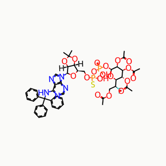 CC(=O)OC[C@H](F)[C@H]1O[C@@H](OP(=O)(O)OP(O)(=S)OC[C@H]2O[C@@H](n3cnc4c(NC(c5ccccc5)(c5ccccc5)c5ccccc5)ncnc43)[C@@H]3OC(C)(C)O[C@@H]32)[C@@H](OC(C)=O)[C@@H](OC(C)=O)[C@@H]1OC(C)=O